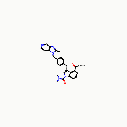 COC(=O)c1cccc2c1c(Cc1ccc(Cn3c(C)nc4cnccc43)cc1)cn2C(=O)N(C)C